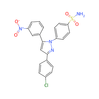 NS(=O)(=O)c1ccc(-n2nc(-c3ccc(Cl)cc3)cc2-c2cccc([N+](=O)[O-])c2)cc1